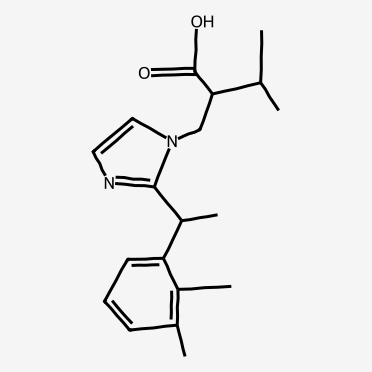 Cc1cccc(C(C)c2nccn2CC(C(=O)O)C(C)C)c1C